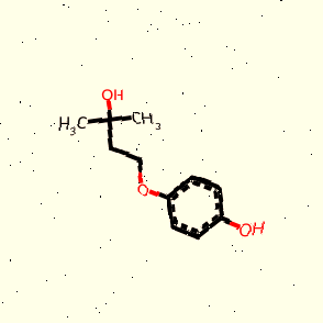 CC(C)(O)CCOc1ccc(O)cc1